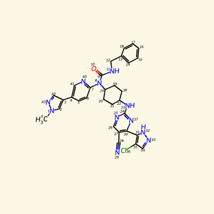 Cn1cc(-c2ccc(N(C(=O)NCc3ccccc3)C3CCC(Nc4ncc(C#N)c(-c5[nH]ncc5Cl)n4)CC3)nc2)cn1